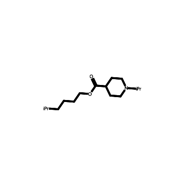 CC(C)CCCCOC(=O)C1CCN(C(C)C)CC1